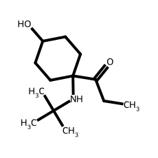 CCC(=O)C1(NC(C)(C)C)CCC(O)CC1